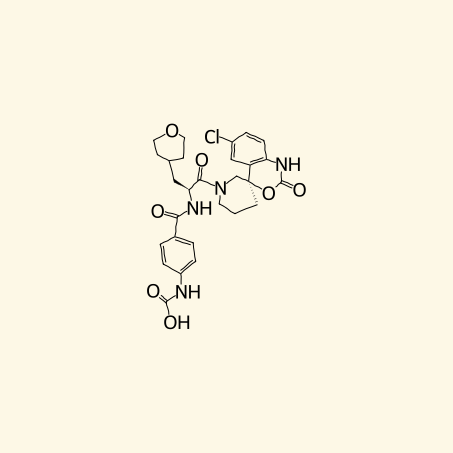 O=C(O)Nc1ccc(C(=O)N[C@@H](CC2CCOCC2)C(=O)N2CCC[C@@]3(C2)OC(=O)Nc2ccc(Cl)cc23)cc1